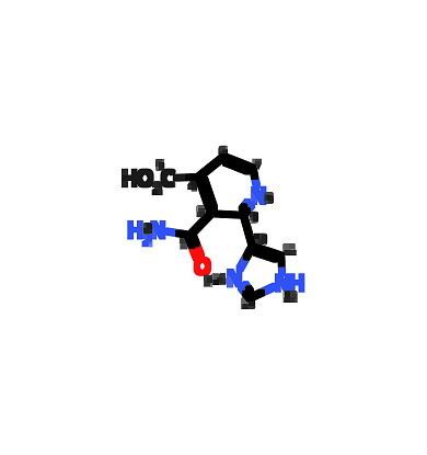 NC(=O)c1c(C(=O)O)ccnc1-c1c[nH]cn1